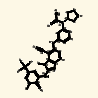 Cn1cc(C(F)(F)F)cc(Nc2nc3ncc(Oc4ccnc(N(C(=O)O)[C@@H]5CCOC5)c4)c(C#N)c3n2C)c1=O